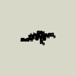 COc1ccc(CN2C(=O)[C@H]([C@@H](C)OC(=O)OCC(Cl)(Cl)Cl)[C@H]2OC(C)=O)cc1